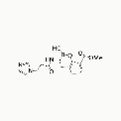 COC(=O)c1cccc2c1OB(O)[C@@H](NC(=O)CCn1ccnc1)C2